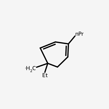 [CH2]C1(CC)C=CC(CCC)=CC1